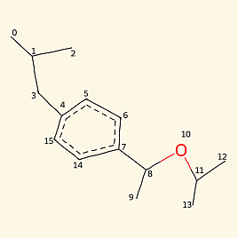 CC(C)Cc1ccc(C(C)OC(C)C)cc1